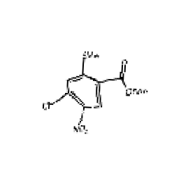 COC(=O)c1cc([N+](=O)[O-])c(Cl)cc1SC